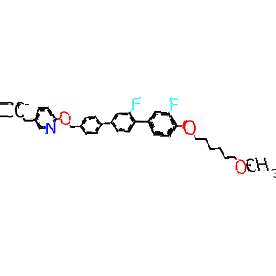 [CH2+][CH-]Cc1ccc(OCc2ccc(-c3ccc(-c4ccc(OCCCCCCOC)c(F)c4)c(F)c3)cc2)nc1